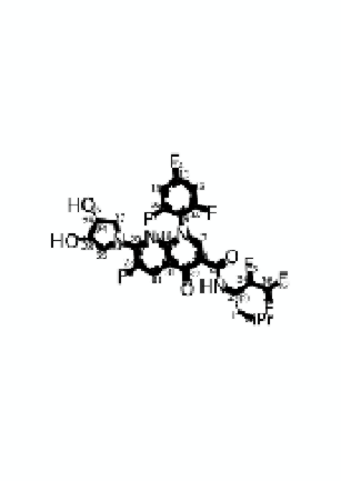 CC(C)C[C@H](NC(=O)c1cn(-c2c(F)cc(F)cc2F)c2nc(N3C[C@@H](O)[C@H](O)C3)c(F)cc2c1=O)C(F)C(F)F